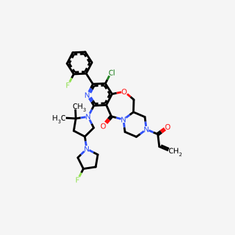 C=CC(=O)N1CCN2C(=O)c3c(N4CC(N5CCC(F)C5)CC4(C)C)nc(-c4ccccc4F)c(Cl)c3OCC2C1